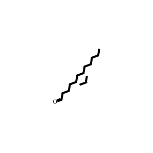 CCCCCCCCCCCC=O.C[CH]C